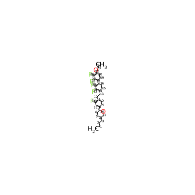 C=CCCC1CCC(c2ccc(CCc3ccc(-c4ccc(OCC)c(F)c4F)c(F)c3F)c(F)c2)OC1